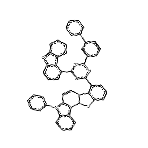 C1=CC2c3c(cccc3-c3nc(-c4cccc(-c5ccccc5)c4)nc(-c4cccc5oc6ccccc6c45)n3)OC2c2c1n(-c1ccccc1)c1ccccc21